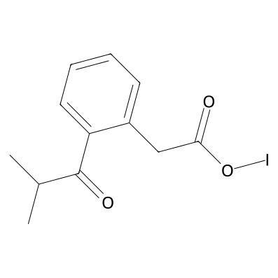 CC(C)C(=O)c1ccccc1CC(=O)OI